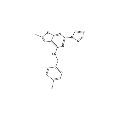 Cc1cc2c(NCc3ccc(F)cc3)nc(-n3cncn3)nc2s1